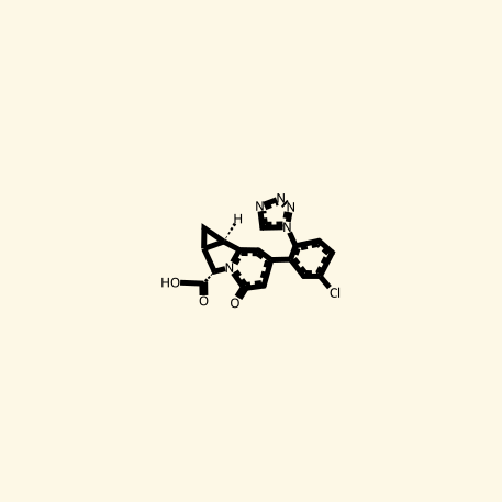 O=C(O)[C@@H]1C2C[C@H]2c2cc(-c3cc(Cl)ccc3-n3cnnn3)cc(=O)n21